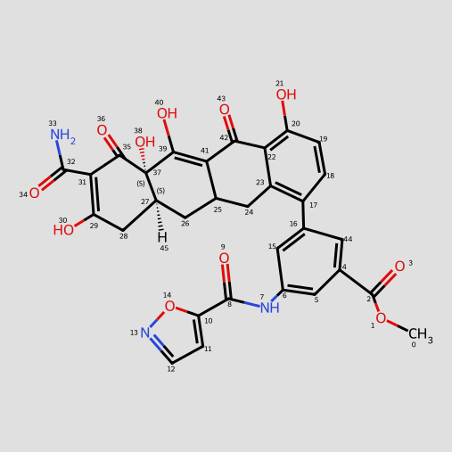 COC(=O)c1cc(NC(=O)c2ccno2)cc(-c2ccc(O)c3c2CC2C[C@H]4CC(O)=C(C(N)=O)C(=O)[C@@]4(O)C(O)=C2C3=O)c1